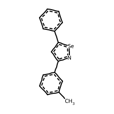 Cc1cccc(-c2cc(-c3ccccc3)[se]n2)c1